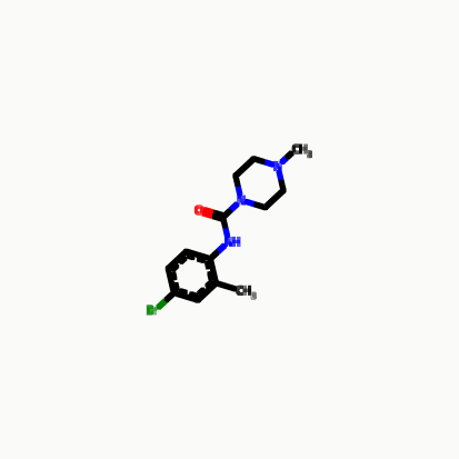 Cc1cc(Br)ccc1NC(=O)N1CCN(C)CC1